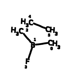 CB(C)F.CC